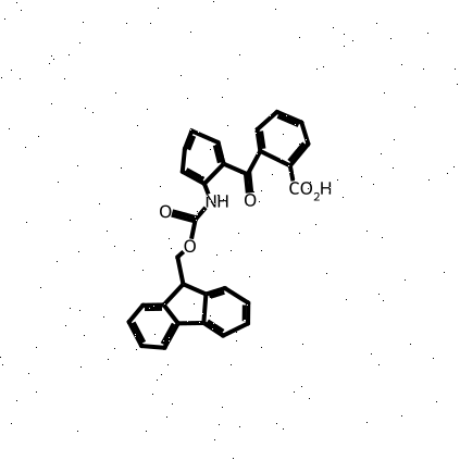 O=C(Nc1ccccc1C(=O)c1ccccc1C(=O)O)OCC1c2ccccc2-c2ccccc21